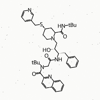 CC(C)(C)NC(=O)C1C[C@H](SCc2cccnc2)CCN1C[C@@H](O)[C@H](Cc1ccccc1)NC(=O)CN(C(=O)c1ccc2ccccc2n1)C(C)(C)C